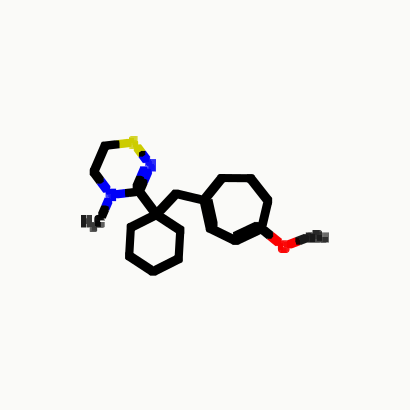 CCCCOC1=CC=C(CC2(C3=NSCCN3C)CCCCC2)CCC1